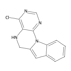 Clc1ncnc2c1NCc1cc3ccccc3n1-2